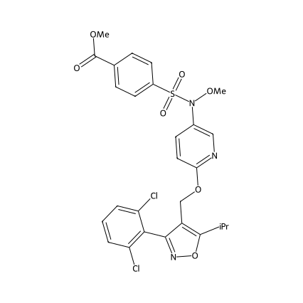 COC(=O)c1ccc(S(=O)(=O)N(OC)c2ccc(OCc3c(-c4c(Cl)cccc4Cl)noc3C(C)C)nc2)cc1